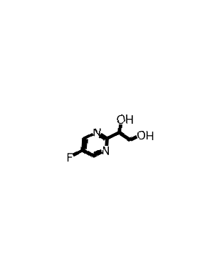 OCC(O)c1ncc(F)cn1